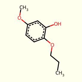 CCCOc1ccc(OC)cc1O